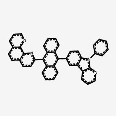 c1ccc(-n2c3ccc(-c4c5ccccc5c(-c5ccc6ccc7cccnc7c6n5)c5ccccc45)cc3c3cccnc32)cc1